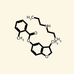 CCCNCCC.Cc1ccccc1C(=O)Oc1ccc2c(c1)C(C)CO2